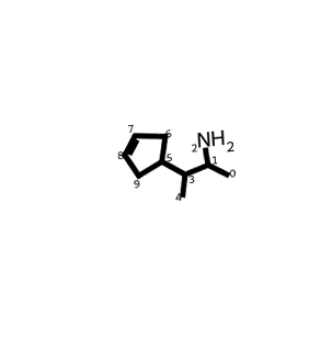 CC(N)C(C)C1CC=CC1